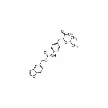 CC(C)OC(Cc1ccc(NC(=O)OCc2ccc3occc3c2)cc1)C(=O)O